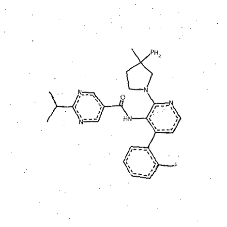 CC(C)c1ncc(C(=O)Nc2c(-c3ccccc3F)ccnc2N2CCC(C)(P)C2)cn1